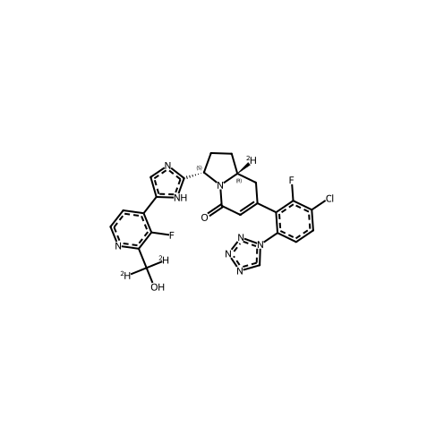 [2H]C([2H])(O)c1nccc(-c2cnc([C@@H]3CC[C@]4([2H])CC(c5c(-n6cnnn6)ccc(Cl)c5F)=CC(=O)N34)[nH]2)c1F